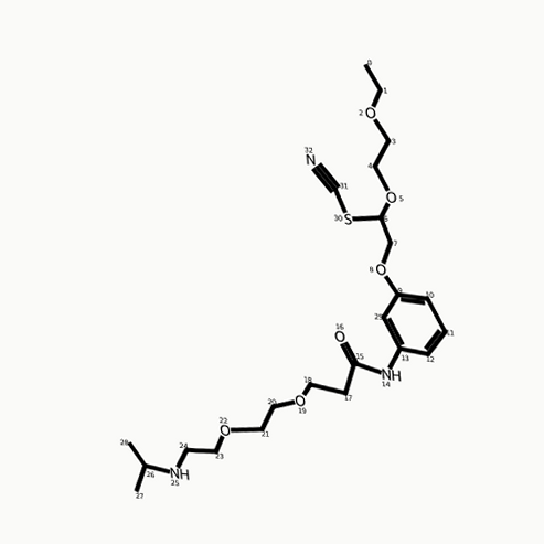 CCOCCOC(COc1cccc(NC(=O)CCOCCOCCNC(C)C)c1)SC#N